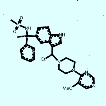 CCC(c1c[nH]c2ccc(C(C)(NS(C)(=O)=O)c3ccccc3)cc12)N1CCN(c2ncncc2OC)CC1